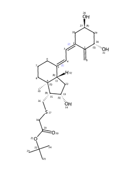 C=C1/C(=C\C=C2/CCC[C@@]3(C)[C@H]2C[C@H](O)[C@@H]3CSCC(=O)OC(C)(C)C)C[C@@H](O)C[C@@H]1O